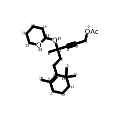 CC(=O)OCC#CC(C)(CCC1=C(C)CCCC1(C)C)OC1CCCCO1